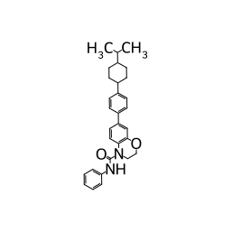 CC(C)C1CCC(c2ccc(-c3ccc4c(c3)OCCN4C(=O)Nc3ccccc3)cc2)CC1